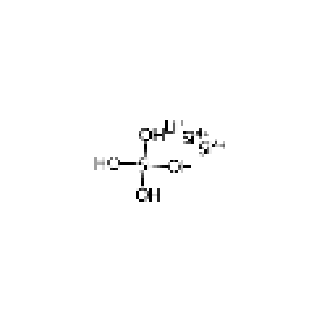 O[Si](O)(O)O.[Li+].[Si+4].[Si+4]